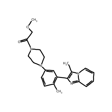 COCC(=O)N1CCN(c2ccc(C)c(-c3nc4ccccn4c3C)c2)CC1